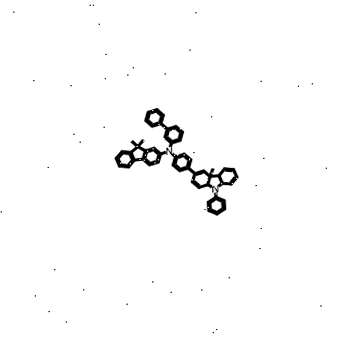 CC1(C)c2ccccc2-c2ccc(N(c3ccc(C4=CC5(C)C6C=CC=CC6N(c6ccccc6)C5C=C4)cc3)c3cccc(-c4ccccc4)c3)cc21